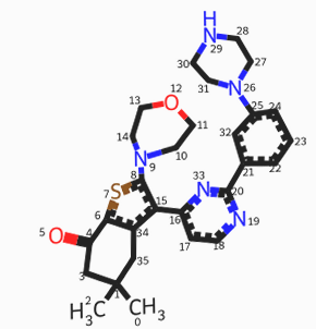 CC1(C)CC(=O)c2sc(N3CCOCC3)c(-c3ccnc(-c4cccc(N5CCNCC5)c4)n3)c2C1